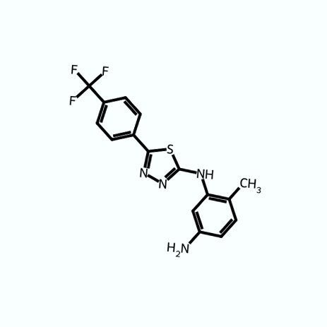 Cc1ccc(N)cc1Nc1nnc(-c2ccc(C(F)(F)F)cc2)s1